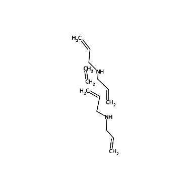 C=C.C=CCNCC=C.C=CCNCC=C